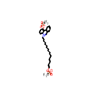 O=S(=O)(OCCCCCCCCCCCCCCCC[n+]1cc2ccccc2c2c(OS(=O)(=O)C(F)(F)F)cccc21)C(F)(F)F